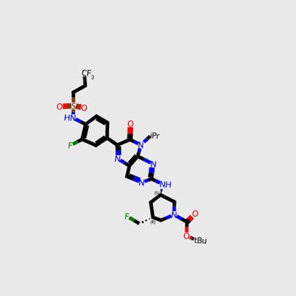 CC(C)n1c(=O)c(-c2ccc(NS(=O)(=O)CCC(F)(F)F)c(F)c2)nc2cnc(N[C@H]3C[C@@H](CF)CN(C(=O)OC(C)(C)C)C3)nc21